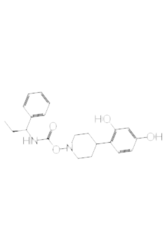 CC[C@H](NC(=O)ON1CCC(c2ccc(O)cc2O)CC1)c1ccccc1